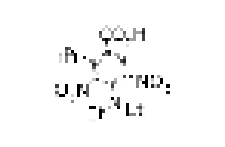 CCCc1c(C(=O)O)cc([N+](=O)[O-])c(N(CC)CC)c1[N+](=O)[O-]